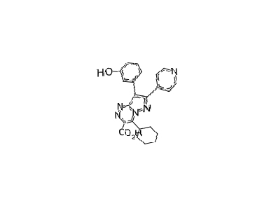 O=C(O)c1nnc2c(-c3cccc(O)c3)c(-c3ccncc3)nn2c1C1CCCCC1